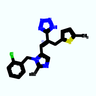 CCCCc1ncc(/C=C(\Cc2ccc(C)s2)c2nnn[nH]2)n1Cc1ccccc1Cl